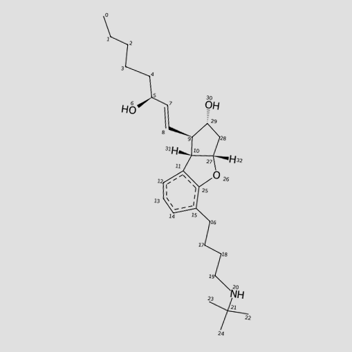 CCCCC[C@H](O)/C=C/[C@@H]1[C@H]2c3cccc(CCCCNC(C)(C)C)c3O[C@H]2C[C@H]1O